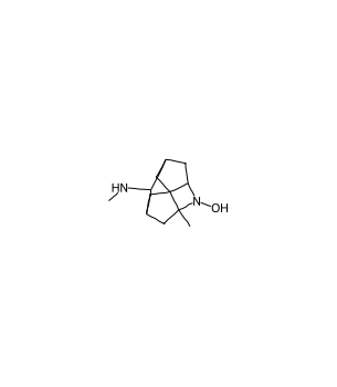 CNC1C2CC3N(O)C4(C)CC1CC34C2